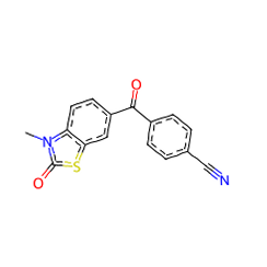 Cn1c(=O)sc2cc(C(=O)c3ccc(C#N)cc3)ccc21